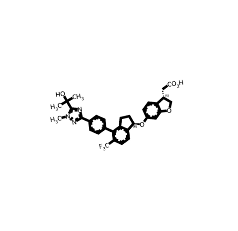 Cn1nc(-c2ccc(-c3c(C(F)(F)F)ccc4c3CC[C@H]4Oc3ccc4c(c3)OC[C@H]4CC(=O)O)cc2)nc1C(C)(C)O